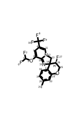 FC(F)OC1=CC(C(F)(F)F)=CN2CC3(N=C12)c1ccc(I)cc1OC[C@@H]3F